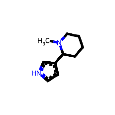 CN1CCCCC1c1cc[nH]c1